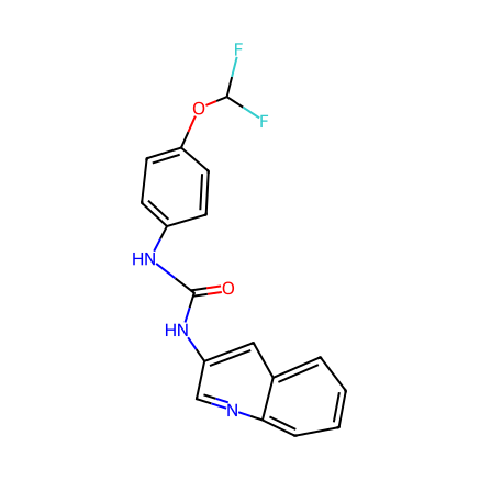 O=C(Nc1ccc(OC(F)F)cc1)Nc1cnc2ccccc2c1